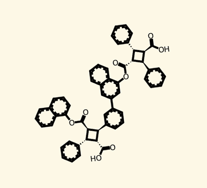 O=C(O)[C@@H]1[C@H](c2ccccc2)[C@@H](C(=O)Oc2cccc3ccccc23)[C@H]1c1cccc(-c2cc(OC(=O)[C@H]3[C@H](c4ccccc4)[C@H](C(=O)O)[C@H]3c3ccccc3)c3ccccc3c2)c1